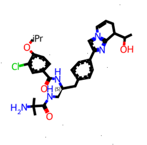 CC(C)Oc1ccc(C(=O)N[C@H](CNC(=O)C(C)(C)N)Cc2ccc(-c3cn4c(n3)C(C(C)O)CC=C4)cc2)cc1Cl